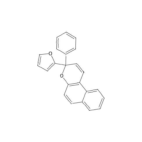 C1=CC(c2ccccc2)(c2ccco2)Oc2ccc3ccccc3c21